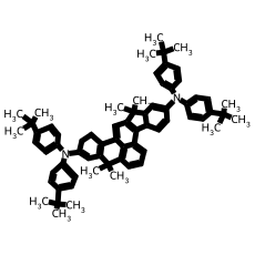 CC(C)(C)c1ccc(N(C2=CC3C(C=C2)c2c(cc4c5c(cccc25)C(C)(C)C2=C4CCC(N(c4ccc(C(C)(C)C)cc4)c4ccc(C(C)(C)C)cc4)=C2)C3(C)C)c2ccc(C(C)(C)C)cc2)cc1